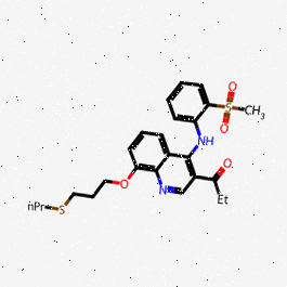 CCCSCCCOc1cccc2c(Nc3ccccc3S(C)(=O)=O)c(C(=O)CC)cnc12